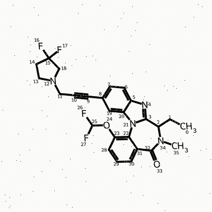 CCC1c2nc3ccc(C#CCN4CCC(F)(F)C4)cc3n2-c2c(OC(F)F)cccc2C(=O)N1C